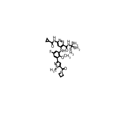 BC(B)(B)NC(=O)c1nnc(NC(=O)C2CC2)cc1Nc1cc(F)cc(-c2cc(C(=O)N3CCC3)n(C)n2)c1OC